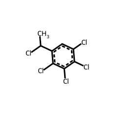 CC(Cl)c1cc(Cl)c(Cl)c(Cl)c1Cl